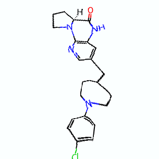 O=C1Nc2cc(CC3CCN(c4ccc(Cl)cc4)CC3)cnc2N2CCC[C@@H]12